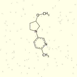 COC1CCN(c2ccc(C)nc2)C1